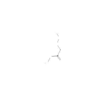 CCCCOOCC(=O)OCCCC